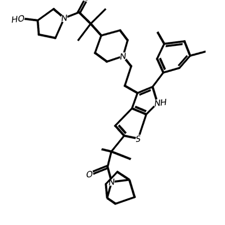 Cc1cc(C)cc(-c2[nH]c3sc(C(C)(C)C(=O)N4C5CCC4CC5)cc3c2CCN2CCC(C(C)(C)C(=O)N3CCC(O)C3)CC2)c1